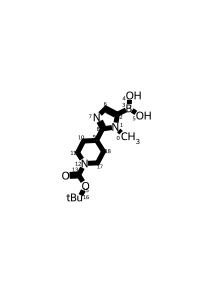 Cn1c(B(O)O)cnc1C1CCN(C(=O)OC(C)(C)C)CC1